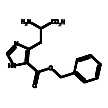 NC(Cc1nc[nH]c1C(=O)OCc1ccccc1)C(=O)O